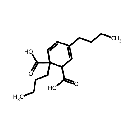 CCCCC1=CC(C(=O)O)C(CCCC)(C(=O)O)C=C1